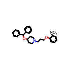 O=[N+]([O-])c1ccccc1OCCCN1CCC(OC(c2ccccc2)c2ccccc2)CC1